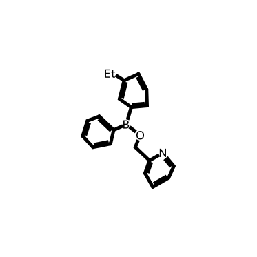 CCc1cccc(B(OCc2ccccn2)c2ccccc2)c1